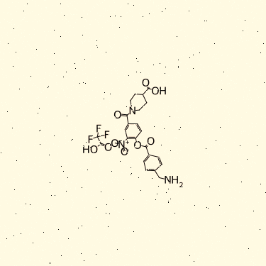 NCc1ccc(C(=O)Oc2ccc(C(=O)N3CCC(C(=O)O)CC3)cc2[N+](=O)[O-])cc1.O=C(O)C(F)(F)F